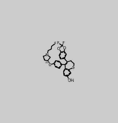 Oc1ccc2c(c1)SCCC(c1ccc3c(c1)OC(F)(F)O3)=C2c1ccc(O[C@H]2CCN(CCCF)C2)cc1